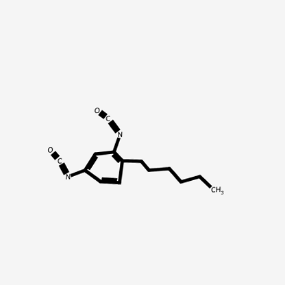 CCCCCCc1ccc(N=C=O)cc1N=C=O